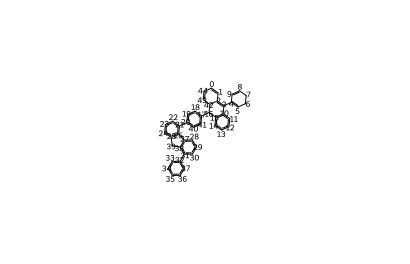 C1=CC2=C(C3=CCCC=C3)c3ccccc3C(c3ccc(-c4cccc5c4-c4cccc(-c6ccccc6)c4C5)cc3)C2C=C1